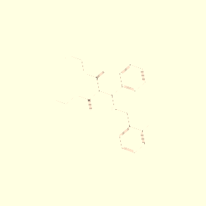 CCOC(=O)C(C(=O)OCC)C(NCc1ccccc1C)c1ccccc1